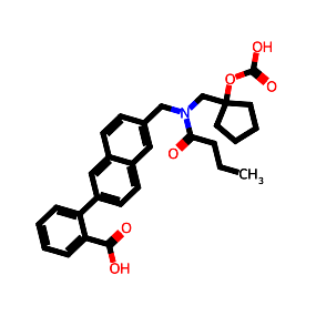 CCCC(=O)N(Cc1ccc2cc(-c3ccccc3C(=O)O)ccc2c1)CC1(OC(=O)O)CCCC1